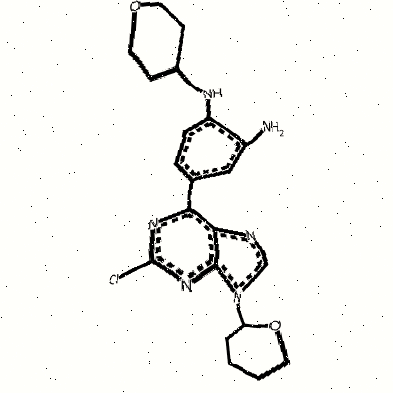 Nc1cc(-c2nc(Cl)nc3c2ncn3C2CCCCO2)ccc1NC1CCOCC1